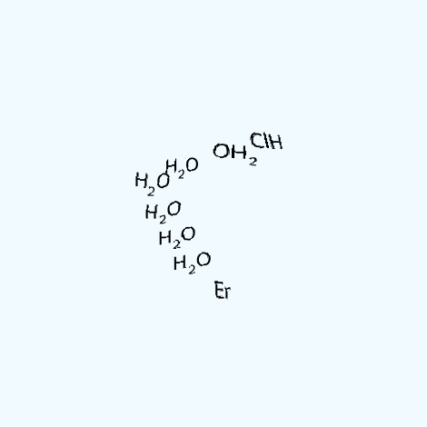 Cl.O.O.O.O.O.O.[Er]